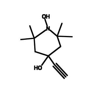 C#CC1(O)CC(C)(C)N(O)C(C)(C)C1